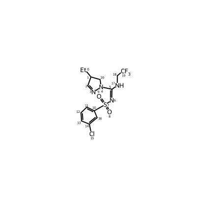 CCC1C=NN(/C(=N\S(=O)(=O)c2cccc(Cl)c2)NCC(F)(F)F)C1